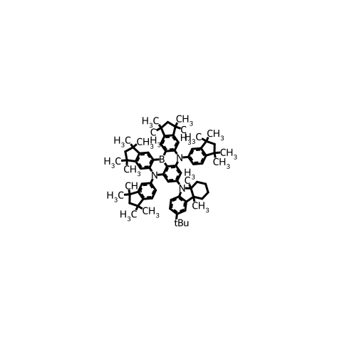 CC(C)(C)c1ccc2c(c1)C1(C)CCCCC1(C)N2c1cc2c3c(c1)N(c1ccc4c(c1)C(C)(C)CC4(C)C)c1cc4c(cc1B3c1cc3c(cc1N2c1ccc2c(c1)C(C)(C)CC2(C)C)C(C)(C)CC3(C)C)C(C)(C)CC4(C)C